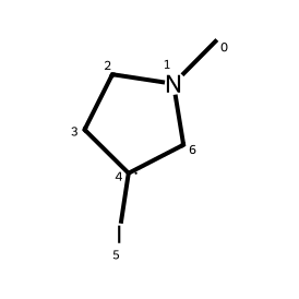 CN1CC[C](I)C1